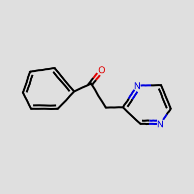 O=C(Cc1cnccn1)c1ccccc1